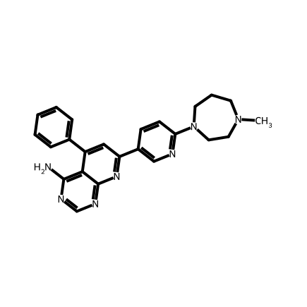 CN1CCCN(c2ccc(-c3cc(-c4ccccc4)c4c(N)ncnc4n3)cn2)CC1